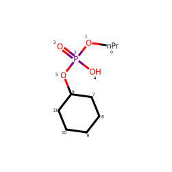 CCCOP(=O)(O)OC1CCCCC1